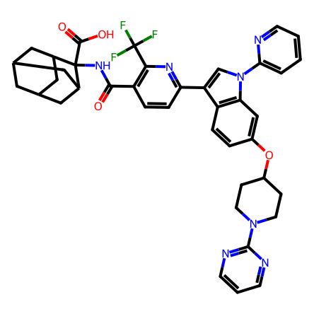 O=C(NC1(C(=O)O)C2CC3CC(C2)CC1C3)c1ccc(-c2cn(-c3ccccn3)c3cc(OC4CCN(c5ncccn5)CC4)ccc23)nc1C(F)(F)F